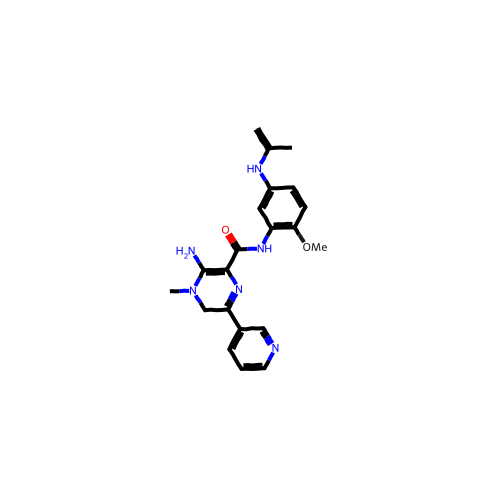 C=C(C)Nc1ccc(OC)c(NC(=O)C2=C(N)N(C)CC(c3cccnc3)=N2)c1